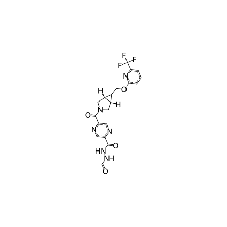 O=CNNC(=O)c1cnc(C(=O)N2C[C@@H]3C(COc4cccc(C(F)(F)F)n4)[C@@H]3C2)cn1